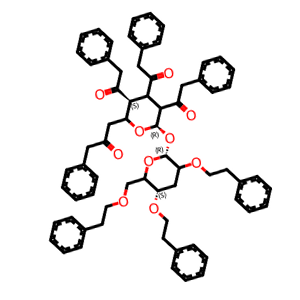 O=C(Cc1ccccc1)CC1O[C@H](O[C@H]2OC(COCCc3ccccc3)[C@@H](OCCc3ccccc3)CC2OCCc2ccccc2)C(C(=O)Cc2ccccc2)C(C(=O)Cc2ccccc2)[C@@H]1C(=O)Cc1ccccc1